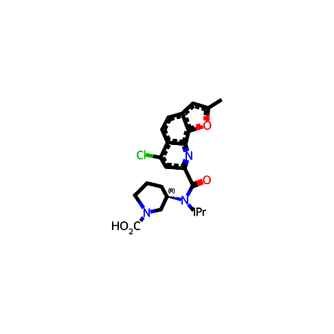 Cc1cc2ccc3c(Cl)cc(C(=O)N(C(C)C)[C@@H]4CCCN(C(=O)O)C4)nc3c2o1